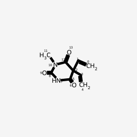 C=CC1(C=C)C(=O)NC(=O)N(C)C1=O